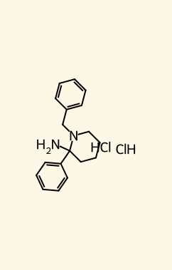 Cl.Cl.NC1(c2ccccc2)CCCCN1Cc1ccccc1